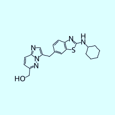 OCc1ccc2ncc(Cc3ccc4nc(NC5CCCCC5)sc4c3)n2n1